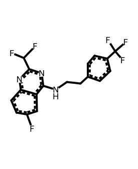 Fc1ccc2nc(C(F)F)nc(NCCc3ccc(C(F)(F)F)cc3)c2c1